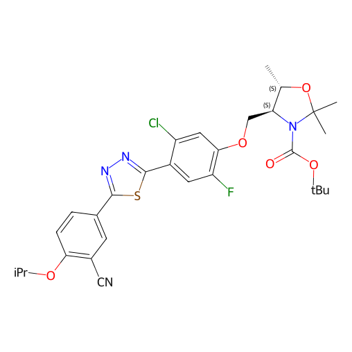 CC(C)Oc1ccc(-c2nnc(-c3cc(F)c(OC[C@H]4[C@H](C)OC(C)(C)N4C(=O)OC(C)(C)C)cc3Cl)s2)cc1C#N